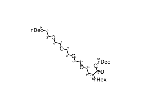 CCCCCCCCCCCCOCCOCCOCCOCCC(CCCCCC)C(=O)OCCCCCCCCCC